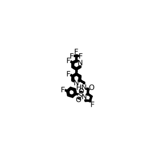 O=C(NCc1cc(-c2cnc(C(F)(F)F)c(F)c2)c(F)cn1)C1CC(F)CN1S(=O)(=O)c1ccc(F)cc1